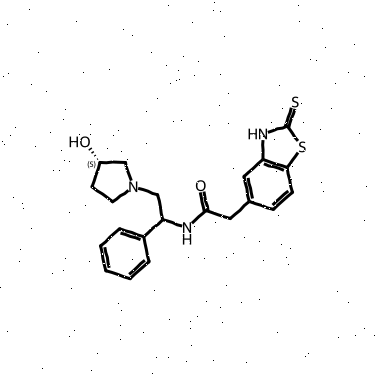 O=C(Cc1ccc2sc(=S)[nH]c2c1)NC(CN1CC[C@H](O)C1)c1ccccc1